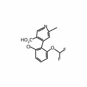 Cc1cc(-c2c(Cl)cccc2OC(F)F)c(C(=O)O)cn1